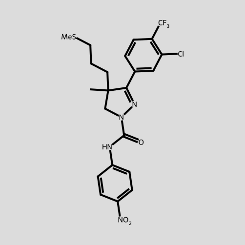 CSCCCC1(C)CN(C(=O)Nc2ccc([N+](=O)[O-])cc2)N=C1c1ccc(C(F)(F)F)c(Cl)c1